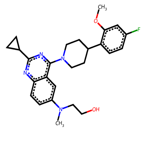 COc1cc(F)ccc1C1CCN(c2nc(C3CC3)nc3ccc(N(C)CCO)cc23)CC1